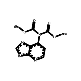 CC(C)(C)OC(=O)N(C(=O)OC(C)(C)C)c1ccnc2[nH]cnc12